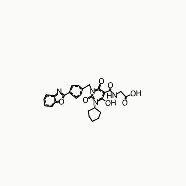 O=C(O)CNC(=O)c1c(O)n(C2CCCCC2)c(=O)n(Cc2ccc(-c3nc4ccccc4o3)cc2)c1=O